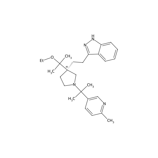 CCOC(C)(C)[C@]1(CCc2n[nH]c3ccccc23)CCN(C(C)(C)c2ccc(C)nc2)C1